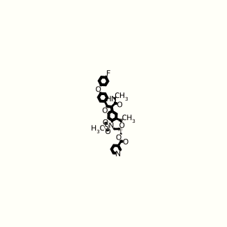 CNC(=O)c1c(-c2ccc(Oc3ccc(F)cc3)cc2)oc2cc3c(cc12)[C@H](C)O[C@H](COC(=O)c1cccnc1)CN3S(C)(=O)=O